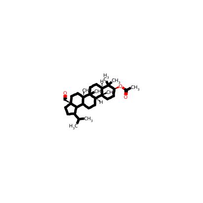 CC(=O)O[C@H]1CC[C@@]2(C)[C@@H](CCC3(C)[C@@H]2CCC2C4C(C(C)C)CC[C@]4(C=O)CC[C@]23C)C1(C)C